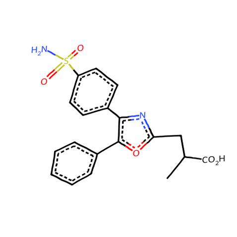 CC(Cc1nc(-c2ccc(S(N)(=O)=O)cc2)c(-c2ccccc2)o1)C(=O)O